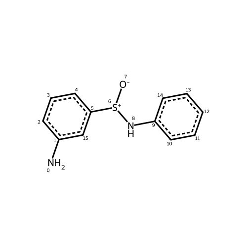 Nc1cccc([S+]([O-])Nc2ccccc2)c1